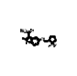 Cc1oc2ccc(OCC3CCCC3(F)F)cc2c1C(=O)O